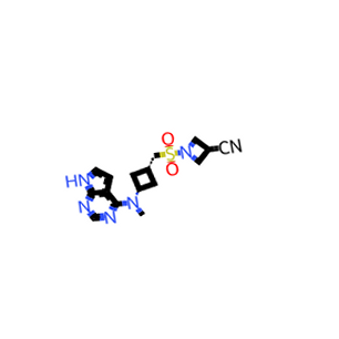 CN(c1ncnc2[nH]ccc12)[C@H]1C[C@@H](CS(=O)(=O)N2CC(C#N)C2)C1